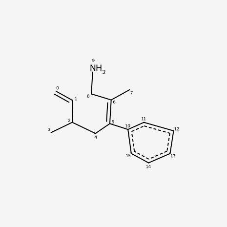 C=CC(C)C/C(=C(/C)CN)c1ccccc1